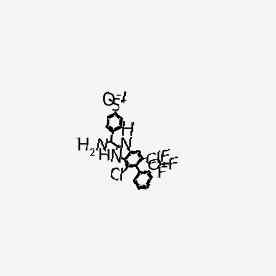 CC[S+]([O-])c1ccc(C(N)C2Nc3cc(Cl)c(-c4ccccc4OC(F)(F)F)c(Cl)c3N2)cc1